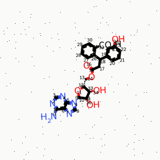 Nc1ncnc2c1ncn2[C@@H]1O[C@H](COC(=O)CC(c2cccc(O)c2)c2ccccc2C(=O)O)[C@@H](O)[C@H]1O